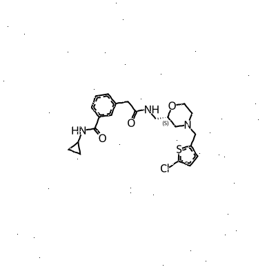 O=C(Cc1cccc(C(=O)NC2CC2)c1)NC[C@H]1CN(Cc2ccc(Cl)s2)CCO1